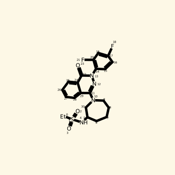 CCS(=O)(=O)NC1CCCCN(c2nn(-c3ccc(F)cc3F)c(=O)c3ccccc23)C1